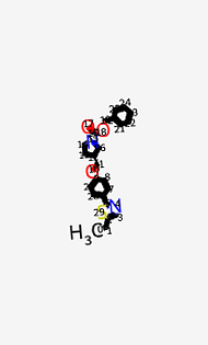 CCc1cnc(-c2ccc(OC[C@H]3CCN(C(=O)OCc4ccccc4)C3)cc2)s1